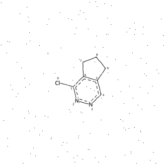 Clc1nncc2c1CCC2